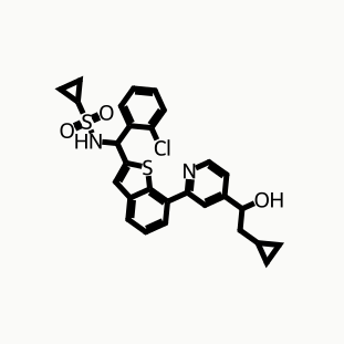 O=S(=O)(NC(c1cc2cccc(-c3cc(C(O)CC4CC4)ccn3)c2s1)c1ccccc1Cl)C1CC1